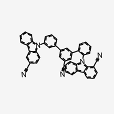 N#Cc1cc(-c2cccc(-n3c4ccccc4c4cc(C#N)ccc43)c2)cc(-c2ccccc2-n2c3ccccc3c3cccc(C#N)c32)c1